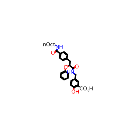 CCCCCCCCNC(=O)c1ccc(CC(Oc2ccccc2)C(=O)NCc2ccc(O)c(C(=O)O)c2)cc1